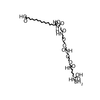 BN[C@@H](CCCCNC(=O)COCCOCCNC(=O)COCCOCCNC(=O)CC[C@H](NC(=O)CCCCCCCCCCCCCCC(=O)O)C(=O)O)C(=O)O